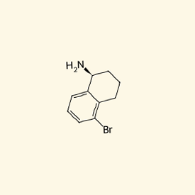 N[C@H]1CCCc2c(Br)cccc21